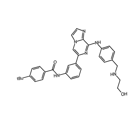 CC(C)(C)c1ccc(C(=O)Nc2cccc(-c3cn4ccnc4c(Nc4ccc(CNCCO)cc4)n3)c2)cc1